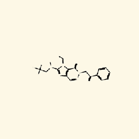 CCn1c(N(C)CC(C)(C)N)nc2cnn(CC(=O)c3ccccc3)c(=O)c21